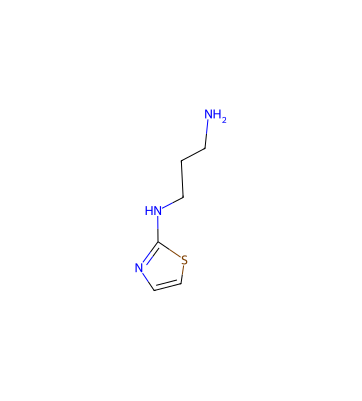 NCCCNc1nccs1